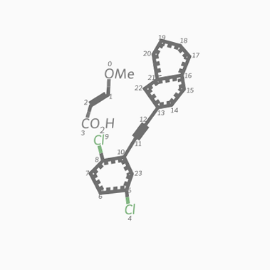 COC=CC(=O)O.Clc1ccc(Cl)c(C#Cc2ccc3ccccc3c2)c1